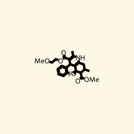 COCCOC(=O)C1=C(C)NC2=C(C(=O)C(C(=O)OC)C(C)C2)C1c1ccccc1F